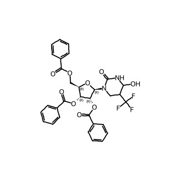 O=C(OC[C@H]1O[C@@H](N2CC(C(F)(F)F)C(O)NC2=O)[C@H](OC(=O)c2ccccc2)[C@@H]1OC(=O)c1ccccc1)c1ccccc1